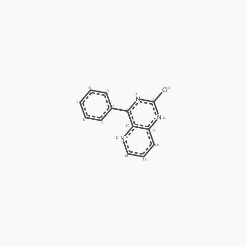 Clc1nc(-c2ccccc2)c2ncccc2n1